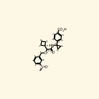 C[S+]([O-])c1cccc(COC(C(=O)NC2(c3ccc(C(=O)O)cc3)CC2)C2CCC2)c1